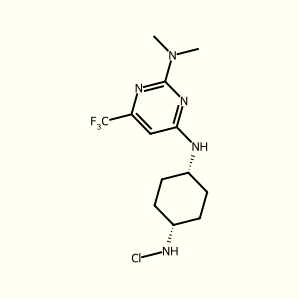 CN(C)c1nc(N[C@H]2CC[C@@H](NCl)CC2)cc(C(F)(F)F)n1